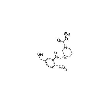 CC(C)(C)OC(=O)N1CCC[C@H](CNc2cc(CO)ccc2[N+](=O)[O-])C1